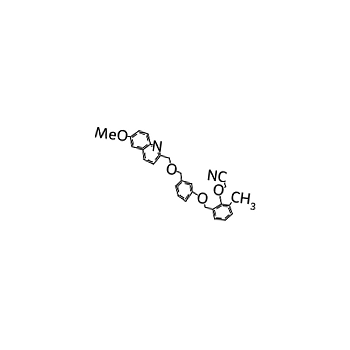 COc1ccc2nc(COCc3cccc(OCc4cccc(C)c4OCC#N)c3)ccc2c1